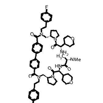 CN[C@@H](C)C(=O)N[C@H](C(=O)N1CCC[C@H]1CN(CCc1ccc(F)cc1)C(=O)c1ccc(-c2ccc(C(=O)N(CCc3ccc(F)cc3)C[C@@H]3CCCN3C(=O)[C@@H](N)C3CCOCC3)cc2)cc1)C1CCOCC1